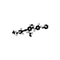 C=CC(=O)Nc1cc2c(Nc3ccc(OCc4ccccn4)c(Cl)c3)ncnc2cc1C#CC1[C@H]2CN(C(=O)OC(C)(C)C)C[C@@H]12